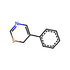 C1=NC=C(c2ccccc2)CS1